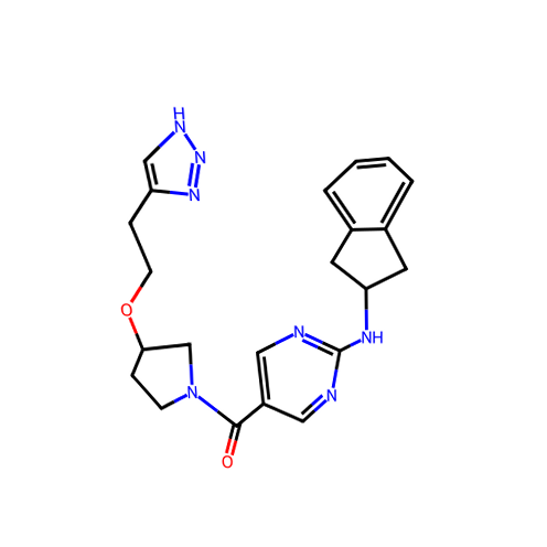 O=C(c1cnc(NC2Cc3ccccc3C2)nc1)N1CCC(OCCc2c[nH]nn2)C1